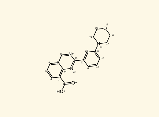 O=C(O)c1cccc2cnc(-c3cccc(N4CCOCC4)c3)nc12